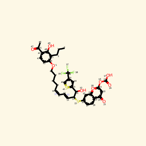 CCCc1c(OCCCC/C=C\C=C\C(Sc2ccc3c(=O)cc(OC(=O)O)oc3c2)C(O)c2cc(C(F)(F)F)cs2)ccc(C(C)=O)c1O